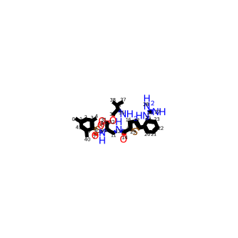 Cc1cc(C)c(S(=O)(=O)NC(CNC(=O)c2ccc(-c3ccccc3NC(=N)N)s2)C(=O)OCC(N)C(C)C)c(C)c1